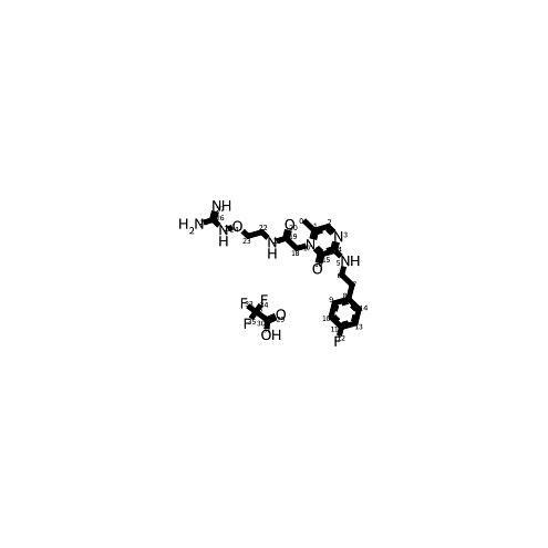 Cc1cnc(NCCc2ccc(F)cc2)c(=O)n1CC(=O)NCCONC(=N)N.O=C(O)C(F)(F)F